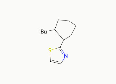 CCC(C)C1CCCCC1c1nccs1